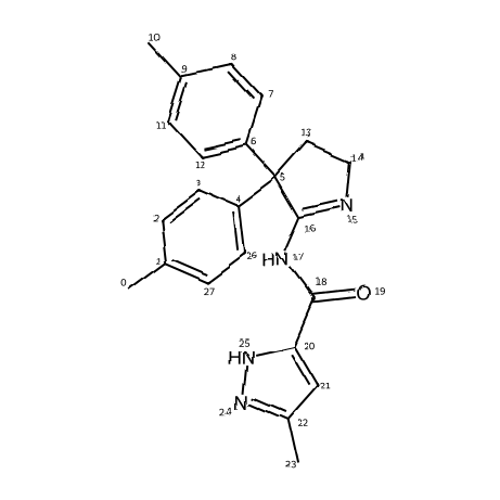 Cc1ccc(C2(c3ccc(C)cc3)CCN=C2NC(=O)c2cc(C)n[nH]2)cc1